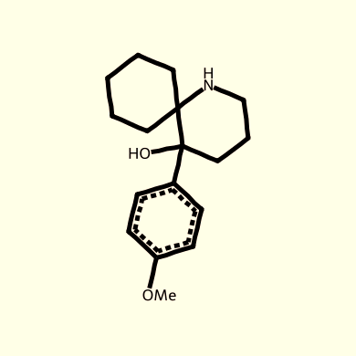 COc1ccc(C2(O)CCCNC23CCCCC3)cc1